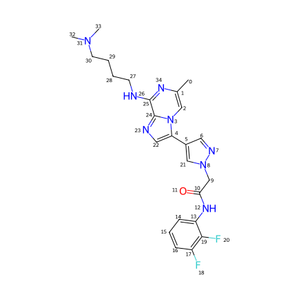 Cc1cn2c(-c3cnn(CC(=O)Nc4cccc(F)c4F)c3)cnc2c(NCCCCN(C)C)n1